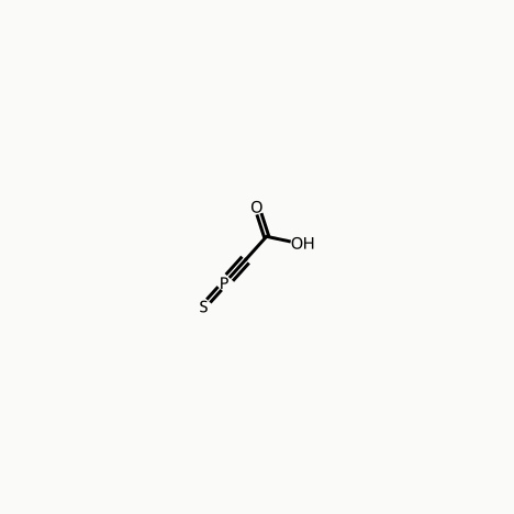 O=C(O)C#P=S